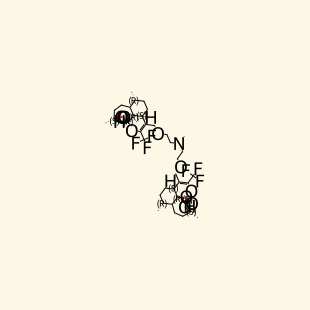 C[C@@H]1CC[C@H]2C(COCCN(C)CCOCC3=C(C(F)(F)F)O[C@@H]4O[C@]5(C)CCC6[C@H](C)CC[C@@H]3[C@]64OO5)=C(C(F)(F)F)O[C@@H]3O[C@]4(C)CCC1[C@]32OO4